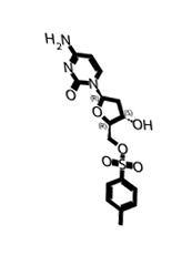 Cc1ccc(S(=O)(=O)OC[C@H]2O[C@@H](n3ccc(N)nc3=O)C[C@@H]2O)cc1